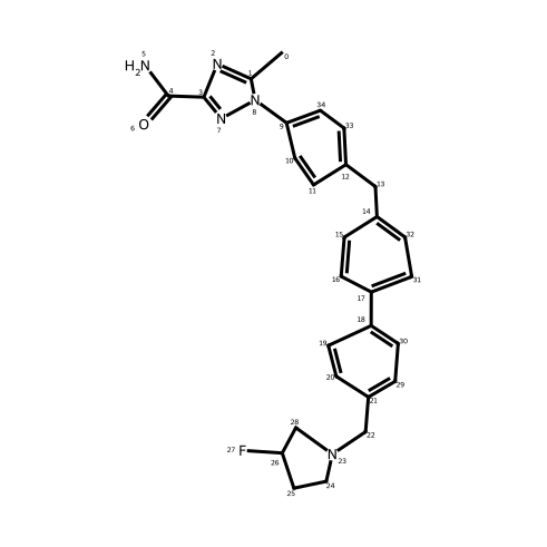 Cc1nc(C(N)=O)nn1-c1ccc(Cc2ccc(-c3ccc(CN4CCC(F)C4)cc3)cc2)cc1